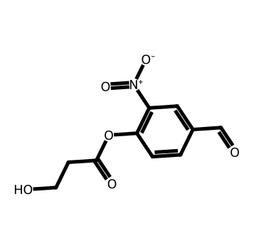 O=Cc1ccc(OC(=O)CCO)c([N+](=O)[O-])c1